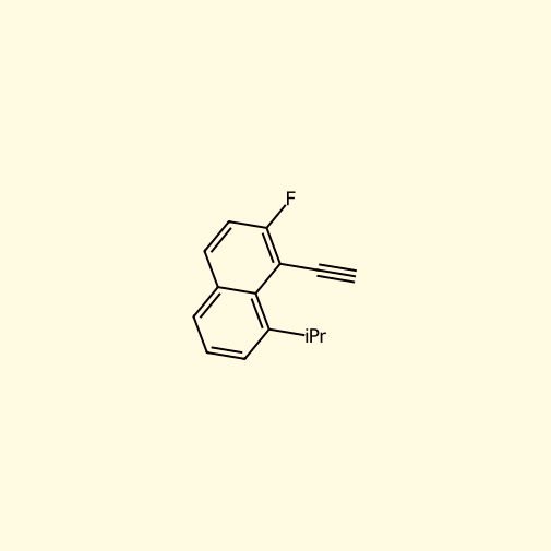 C#Cc1c(F)ccc2cccc(C(C)C)c12